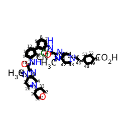 Cn1c(C(=O)Nc2cccc(-c3cccc(NC(=O)c4nc5c(n4C)CCN(C4CCOCC4)C5)c3C#N)c2Cl)nc2c1CCN(CC[C@H]1CC[C@H](C(=O)O)CC1)C2